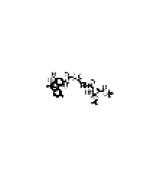 Cc1ccc2c3c1O[C@H]1C(OC(=O)[C@H](C)OC(=O)CCNC(=O)[C@H](CCC(=O)OC(C)(C)C)NC(=O)OC(C)(C)C)=CC[C@@]4(O)[C@@H](C2)N(C)CC[C@]314